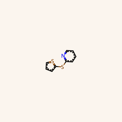 c1ccc(Sc2cccs2)nc1